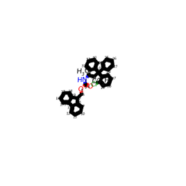 CC(NC(=O)OCC1c2ccccc2-c2ccccc21)C(C(=O)O)C(c1ccccc1)(c1ccccc1)c1ccccc1Cl